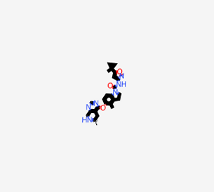 Cc1c(Oc2ncnc3c2C[C@H](C)NC3)ccc2c1CCN2C(=O)Nc1cc(C2(C)CC2)on1